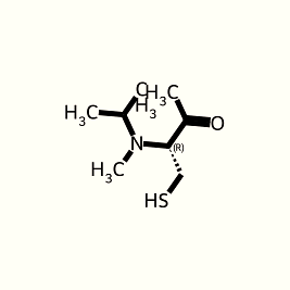 CC(=O)[C@H](CS)N(C)C(C)C